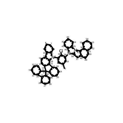 Cc1cc(-n2c3ccccc3c3ccc4c(c32)-c2ccccc2C42c3ccccc3-c3ccccc32)c(Cl)c(-n2c3ccccc3n3c4c(ccc5ccccc54)cc23)c1